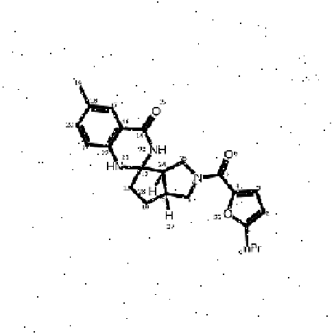 CCCc1ccc(C(=O)N2C[C@@H]3CCC4(NC(=O)c5cc(C)ccc5N4)[C@@H]3C2)o1